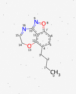 CCCCc1ccc2onc3c2c1OCC=N3